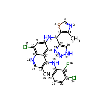 Cc1ncsc1C(Nc1cc(Cl)c2ncc(C#N)c(Nc3cccc(Cl)c3F)c2c1)c1c[nH]nn1